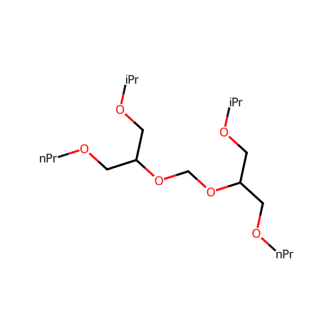 CCCOCC(COC(C)C)OCOC(COCCC)COC(C)C